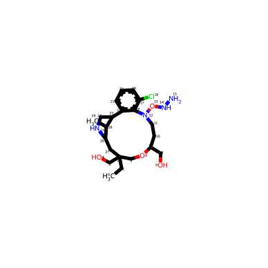 CCC1(CO)COC(CO)CCN(ONN)c2c(Cl)cccc2C2CNC(C1)C2C